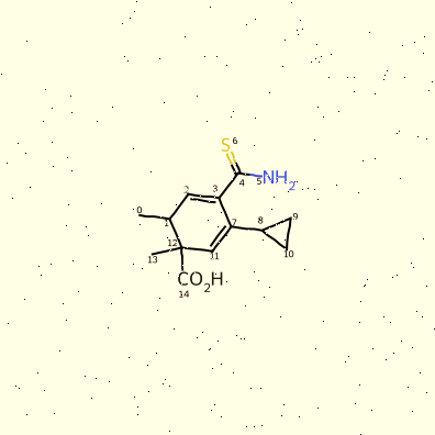 CC1C=C(C(N)=S)C(C2CC2)=CC1(C)C(=O)O